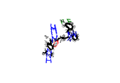 CC1CN(c2ccc([C@H](C)NC(=O)CCc3nc4cccnc4n3Cc3ccc(F)c(F)c3)cc2)CCN1